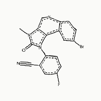 Cn1c(=O)n(-c2ccc(F)cc2C#N)c2c3cc(Br)ccc3ncc21